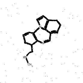 CNCC1CC=CC2=C1N=CC1=CCCc3ccn2c31